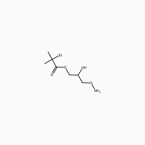 CCC(C)(C)C(=O)OCC(O)CON